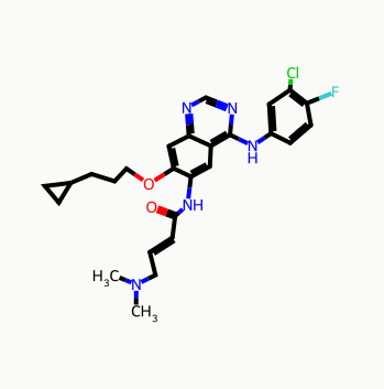 CN(C)C/C=C/C(=O)Nc1cc2c(Nc3ccc(F)c(Cl)c3)ncnc2cc1OCCCC1CC1